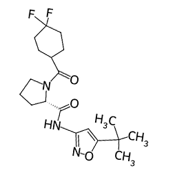 CC(C)(C)c1cc(NC(=O)[C@@H]2CCCN2C(=O)C2CCC(F)(F)CC2)no1